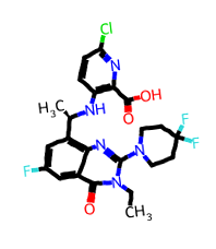 CCn1c(N2CCC(F)(F)CC2)nc2c([C@@H](C)Nc3ccc(Cl)nc3C(=O)O)cc(F)cc2c1=O